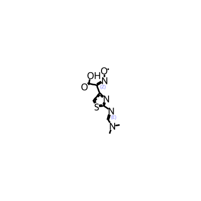 CO/N=C(\C(=O)O)c1csc(/N=C/N(C)C)n1